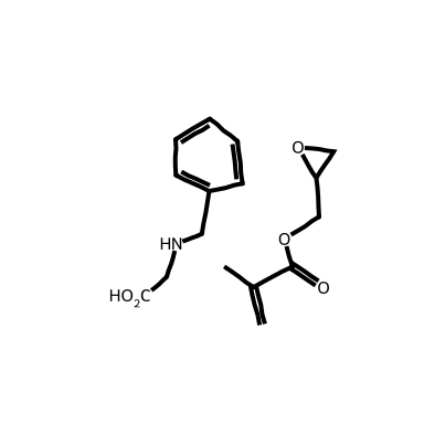 C=C(C)C(=O)OCC1CO1.O=C(O)CNCc1ccccc1